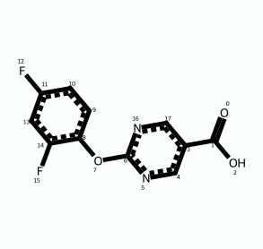 O=C(O)c1cnc(Oc2ccc(F)cc2F)nc1